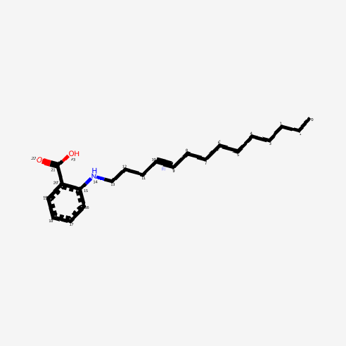 CCCCCCCCC/C=C/CCCNc1ccccc1C(=O)O